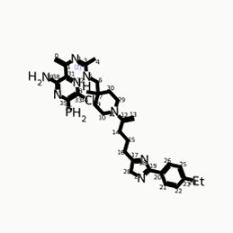 C=C(/N=C(/C)NCC1(C)CCN(C(=C)CCCC2=NC(c3ccc(CC)cc3)=NC2)CC1)c1nc(Cl)c(P)nc1N